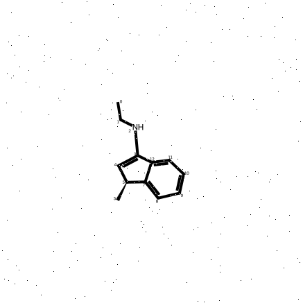 CCNC1=C[C@H](C)c2ccccc21